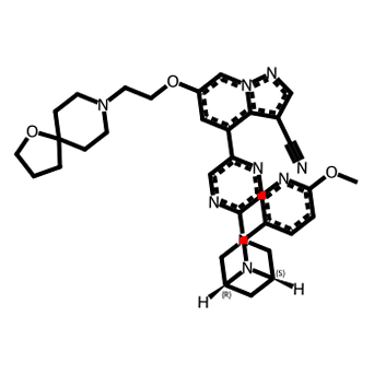 COc1ccc(CN2[C@@H]3C[C@H]2CN(c2cnc(-c4cc(OCCN5CCC6(CCCO6)CC5)cn5ncc(C#N)c45)cn2)C3)cn1